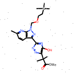 COC(=O)C(C)(C)c1nnc(-c2nn(COCC[Si](C)(C)C)c3nc(C)ccc23)nc1O